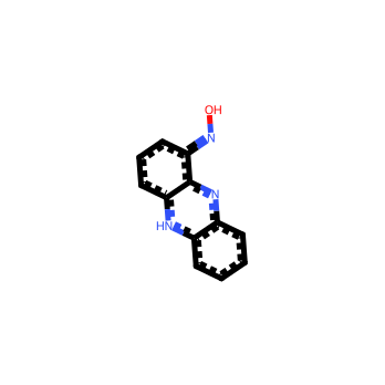 ON=c1cccc2[nH]c3ccccc3nc1-2